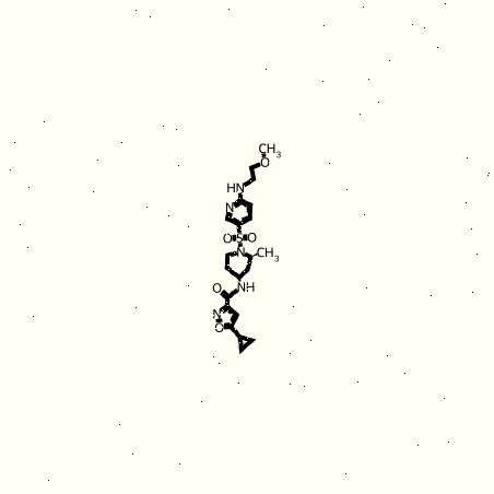 COCCNc1ccc(S(=O)(=O)N2CC[C@@H](NC(=O)c3cc(C4CC4)on3)C[C@H]2C)cn1